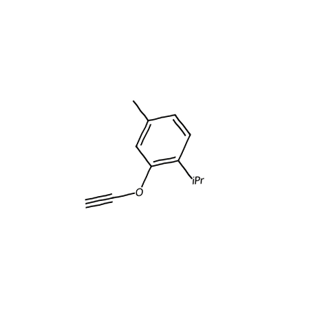 C#COc1cc(C)ccc1C(C)C